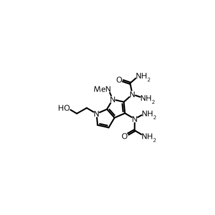 CNn1c(N(N)C(N)=O)c(N(N)C(N)=O)c2ccn(CCO)c21